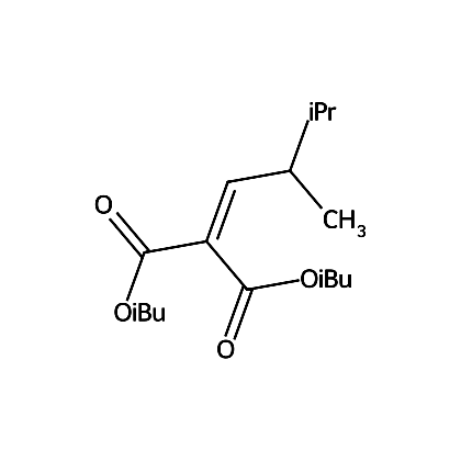 CC(C)COC(=O)C(=CC(C)C(C)C)C(=O)OCC(C)C